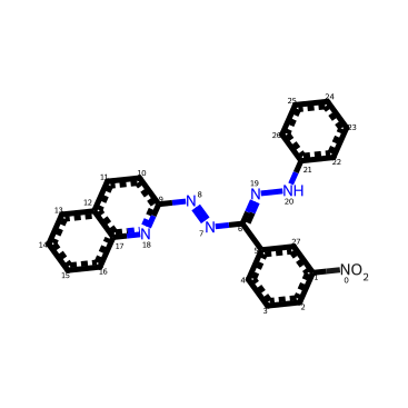 O=[N+]([O-])c1cccc(C(N=Nc2ccc3ccccc3n2)=NNc2ccccc2)c1